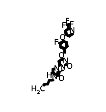 C=CCCCN1C(=O)[C@]23C[C@H]1CN2c1cc(OCc2ccc(Oc4ccnc(C(F)(F)F)c4)c(F)c2)nc(=O)n1C3